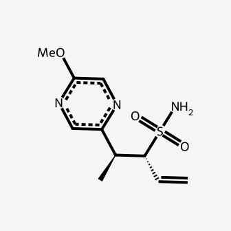 C=C[C@H]([C@@H](C)c1cnc(OC)cn1)S(N)(=O)=O